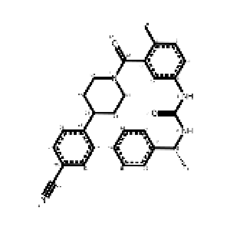 Cc1ccc(NC(=O)N[C@H](C)c2ccccc2)cc1C(=O)N1CCC(c2ccc(C#N)cc2)CC1